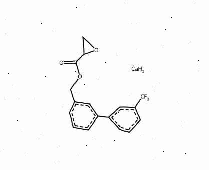 O=C(OCc1cccc(-c2cccc(C(F)(F)F)c2)c1)C1CO1.[CaH2]